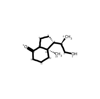 C[C@@H](CO)[C@H]1CCC2C(=O)CCC[C@@]21C